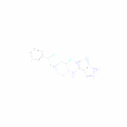 FC(CN1CCC(Nc2ncnc3[nH]ncc23)C(F)C1)c1ccccc1